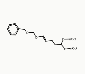 CCCCCCCCOC(CCC=COCOCc1ccccc1)OCCCCCCCC